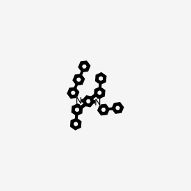 c1ccc(-c2ccc(-c3cccc(-n4c5ccc(-c6ccccc6)cc5c5cc6c(cc54)c4cc(-c5ccccc5)ccc4n6-c4cccc(-c5ccccc5)c4)c3)cc2)cc1